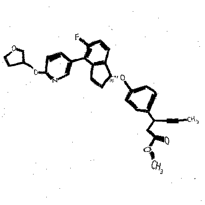 CC#CC(CC(=O)OC)c1ccc(O[C@@H]2CCc3c2ccc(F)c3-c2ccc(OC3CCOC3)nc2)cc1